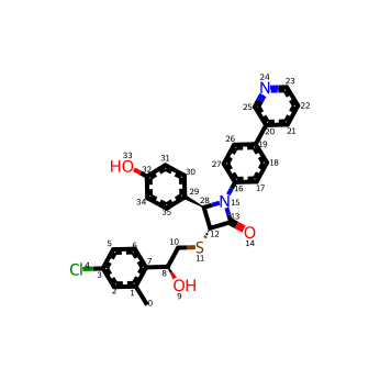 Cc1cc(Cl)ccc1[C@H](O)CS[C@H]1C(=O)N(c2ccc(-c3cccnc3)cc2)[C@@H]1c1ccc(O)cc1